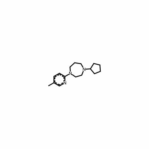 Cc1ccc(N2CCCN(C3CCCC3)CC2)nc1